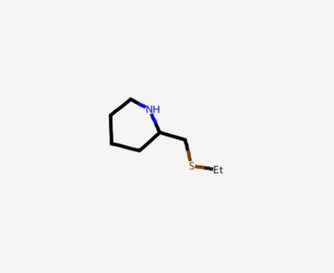 CCSCC1CCCCN1